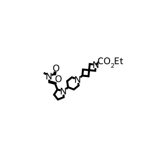 CCOC(=O)N1CC2(CC(N3CCC(N4CCCC4c4cn(C)c(=O)o4)CC3)C2)C1